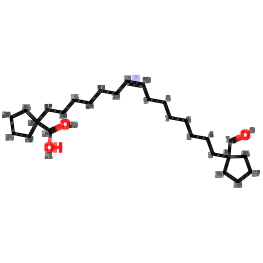 O=CC1(CCCCCCC/C=C\CCCCCCC2(C(=O)O)CCCC2)CCCC1